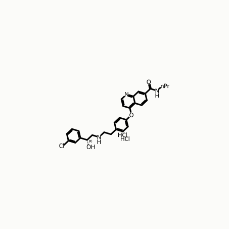 CCCNC(=O)c1ccc2c(Oc3ccc(CCNC[C@H](O)c4cccc(Cl)c4)cc3)ccnc2c1.Cl.Cl